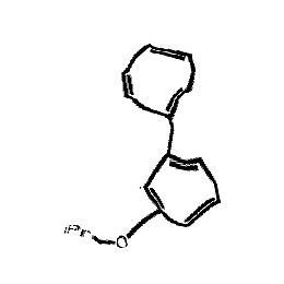 CC(C)Oc1[c]c(-c2ccccc2)ccc1